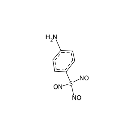 Nc1ccc(S(N=O)(N=O)N=O)cc1